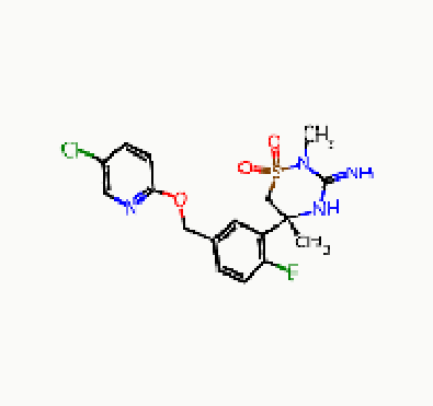 CN1C(=N)N[C@](C)(c2cc(COc3ccc(Cl)cn3)ccc2F)CS1(=O)=O